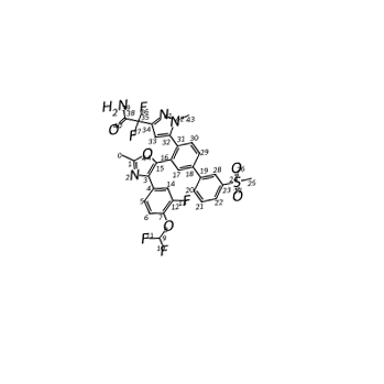 Cc1nc(-c2ccc(OC(F)F)c(F)c2)c(-c2cc(-c3cccc(S(C)(=O)=O)c3)ccc2-c2cc(C(F)(F)C(N)=O)nn2C)o1